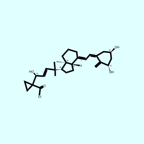 C=C1/C(=C\C=C2/CCC[C@]3(C)[C@@H](C(C)(C)/C=C/[C@H](O)C4(C(=O)CC)CC4)CC[C@@H]23)C[C@@H](O)C[C@@H]1O